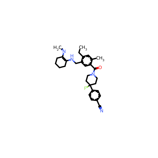 C=NC1=C(NCc2cc(C(=O)N3CCC(F)(c4ccc(C#N)cc4)CC3)c(C)cc2CC)CCCC1